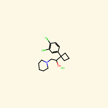 Cl.OC(CN1CCCCC1)C1(c2ccc(Cl)c(Cl)c2)CCC1